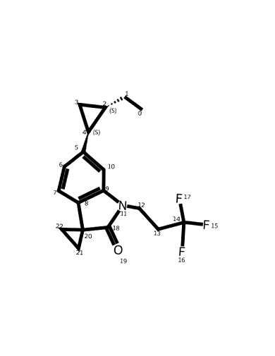 CC[C@H]1C[C@@H]1c1ccc2c(c1)N(CCC(F)(F)F)C(=O)C21CC1